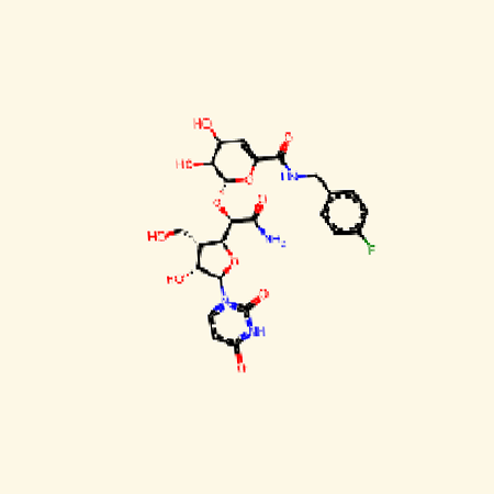 NC(=O)[C@H](O[C@H]1OC(C(=O)NCc2ccc(F)cc2)=C[C@H](O)[C@@H]1O)[C@H]1O[C@@H](n2ccc(=O)[nH]c2=O)[C@H](O)[C@@H]1CO